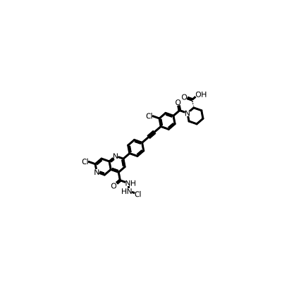 O=C(NNCl)c1cc(-c2ccc(C#Cc3ccc(C(=O)N4CCCC[C@H]4C(=O)O)cc3Cl)cc2)nc2cc(Cl)ncc12